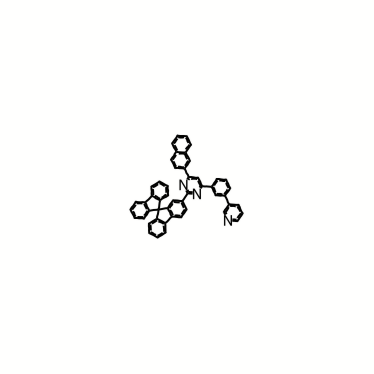 c1cncc(-c2cccc(-c3cc(-c4ccc5ccccc5c4)nc(-c4ccc5c(c4)C4(c6ccccc6-c6ccccc64)c4ccccc4-5)n3)c2)c1